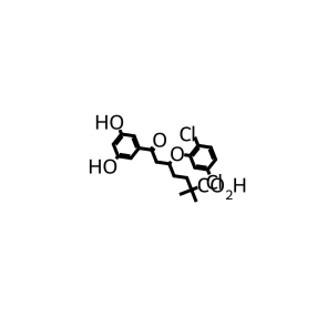 CC(C)(CCC(CC(=O)c1cc(O)cc(O)c1)Oc1cc(Cl)ccc1Cl)C(=O)O